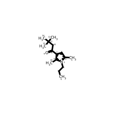 CCCn1c(C)cc(C(=O)CC(C)(C)C)c1C